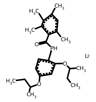 CCC(C)Oc1ccc(PC(=O)c2c(C)cc(C)c(C)c2C)c(OC(C)CC)c1.[Li]